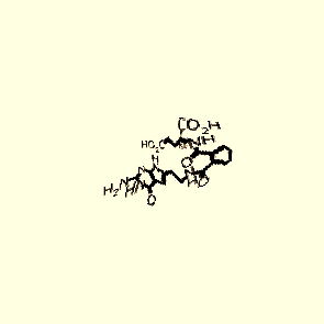 Nc1nc2[nH]c(CCNC(=O)c3ccccc3C(=O)N[C@@H](CCC(=O)O)C(=O)O)cc2c(=O)[nH]1